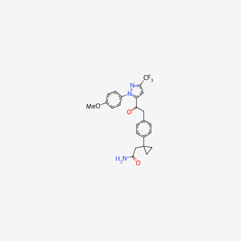 COc1ccc(-n2nc(C(F)(F)F)cc2C(=O)Cc2ccc(C3(CC(N)=O)CC3)cc2)cc1